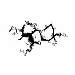 Cc1c(C(F)(F)F)nnc(N2CCCC(F)(F)CC2)c1C(N)=O